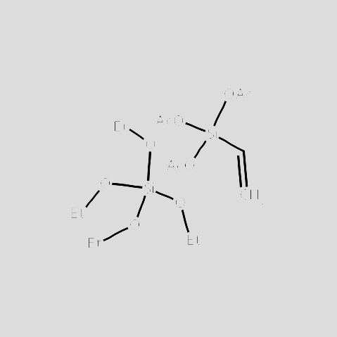 C=C[Si](OC(C)=O)(OC(C)=O)OC(C)=O.CCO[Si](OCC)(OCC)OCC